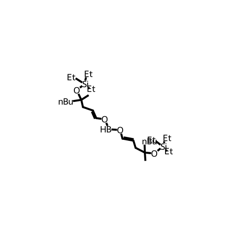 CCCCC(C)(CC=COBOC=CCC(C)(CCCC)O[Si](CC)(CC)CC)O[Si](CC)(CC)CC